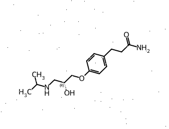 CC(C)NC[C@@H](O)COc1ccc(CCC(N)=O)cc1